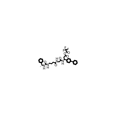 C[C@@H](NC(=O)NCCCC(=O)NCC(=O)NC(CC(=O)OC(=O)C(F)(F)F)c1ccc(-c2ccccc2)cc1)c1ccccc1